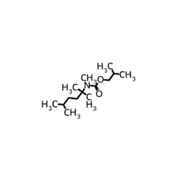 CC(C)CCC(C)(C)N(C)C(=O)OCC(C)C